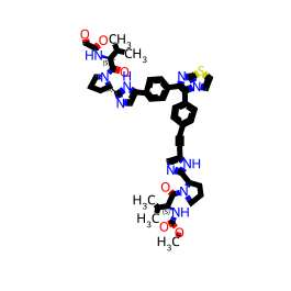 COC(=O)N[C@H](C(=O)N1CCCC1c1ncc(C#Cc2ccc(-c3c(-c4ccc(-c5cnc([C@@H]6CCCN6C(=O)[C@@H](NC(=O)C=O)C(C)C)[nH]5)cc4)nc4sccn34)cc2)[nH]1)C(C)C